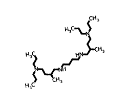 CCCN(CCC)CCC(C)CNCCCCNCC(C)CCN(CCC)CCC